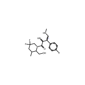 CN/C=C(\C(=N)C(=O)N1CC(F)(F)CC(C)C1CO)c1ccc(F)cc1